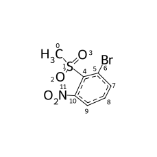 CS(=O)(=O)c1c(Br)cccc1[N+](=O)[O-]